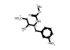 CC(C)(C)OC(=O)N[C@@H](Cc1cccc([N+](=O)[O-])c1)C(O)CC(=O)O